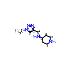 Cn1cc(CNC2CCNCC2)nn1